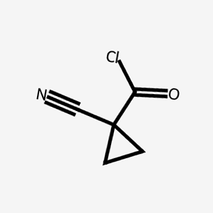 N#CC1(C(=O)Cl)CC1